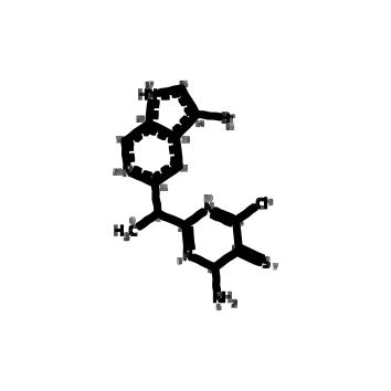 CC(C1=NC(N)C(=S)C(Cl)=N1)c1cc2c(Br)c[nH]c2cn1